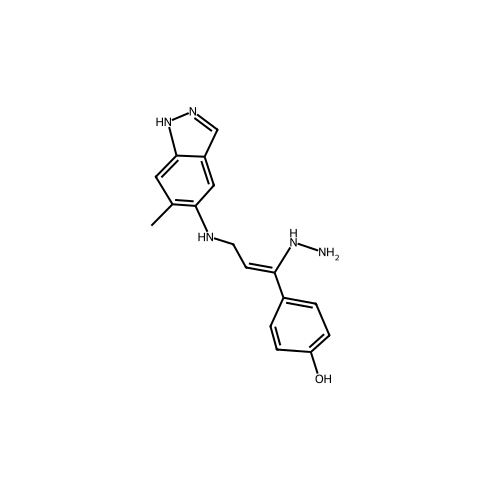 Cc1cc2[nH]ncc2cc1NC/C=C(\NN)c1ccc(O)cc1